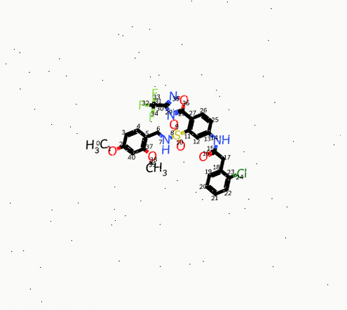 COc1ccc(CNS(=O)(=O)c2cc(NC(=O)Cc3ccccc3Cl)ccc2-c2nc(C(F)(F)F)no2)c(OC)c1